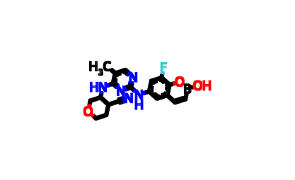 Cc1cnc(Nc2cc(F)c3c(c2)C=CB(O)O3)nc1NC1COCCC1C#N